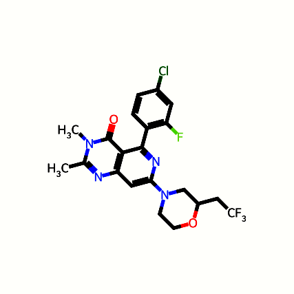 Cc1nc2cc(N3CCOC(CC(F)(F)F)C3)nc(-c3ccc(Cl)cc3F)c2c(=O)n1C